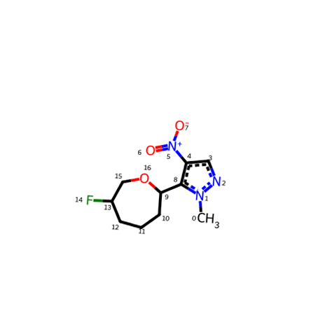 Cn1ncc([N+](=O)[O-])c1C1CCCC(F)CO1